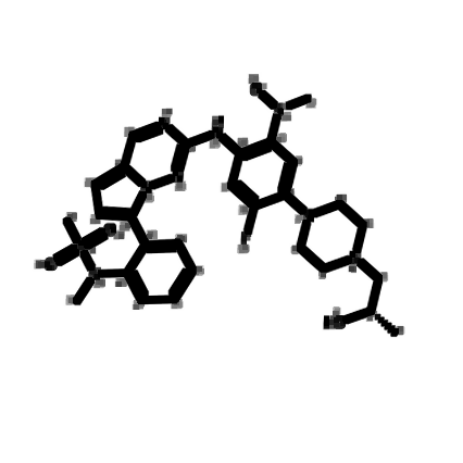 C[C@H](O)CN1CCN(c2cc([S+](C)[O-])c(Nc3ncc4ccc(-c5ccccc5N(C)S(C)(=O)=O)n4n3)cc2F)CC1